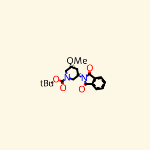 CO[C@@H]1C[C@@H](N2C(=O)c3ccccc3C2=O)CN(C(=O)OC(C)(C)C)C1